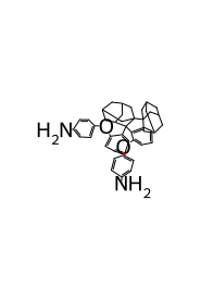 Nc1ccc(Oc2ccccc2C2(c3ccccc3Oc3ccc(N)cc3)C3CC4CC(C3)CC2(C23CC5CC(CC(C5)C2)C3)C4)cc1